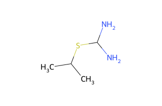 CC(C)SC(N)N